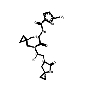 CC1(CN(C(=O)CNC(=O)c2ccc(C(F)(F)F)[nH]2)[C@H](C#N)C[C@@H]2CC3(CC3)NC2=O)CC1